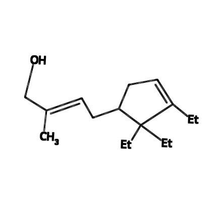 CCC1=CCC(C/C=C(\C)CO)C1(CC)CC